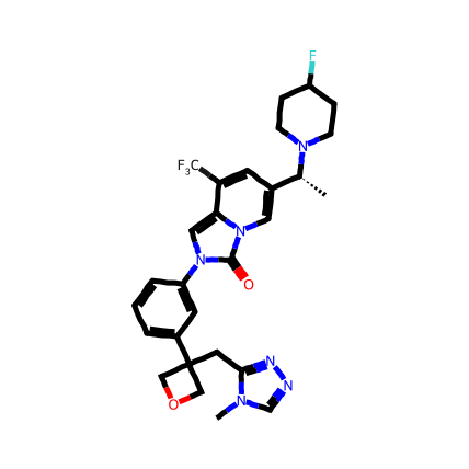 C[C@H](c1cc(C(F)(F)F)c2cn(-c3cccc(C4(Cc5nncn5C)COC4)c3)c(=O)n2c1)N1CCC(F)CC1